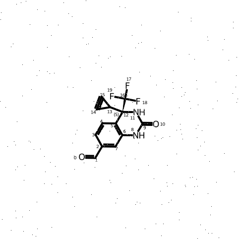 O=Cc1ccc2c(c1)NC(=O)N[C@]2(C1C#C1)C(F)(F)F